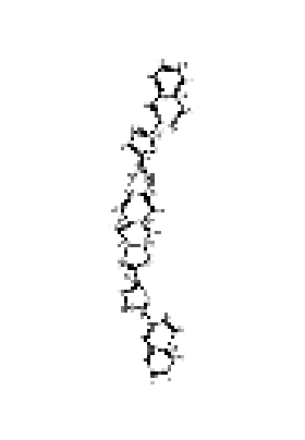 c1ccc2cc(-c3ncc(-c4nc5cc6cc7sc(-c8cnc(-c9ccc%10ccccc%10c9)s8)nc7cc6cc5s4)s3)ccc2c1